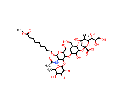 COC(=O)CCCCCCCCOC1OC(CO)C(OC2CC(CO)C(O)C(OC3(C(=O)O)CC(O)C(C)C([C@H](O)[C@H](O)CO)O3)C2O)C(OC2OC(C)C(O)C(O)C2O)C1NC(C)=O